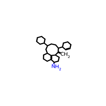 C=C1C2CCC(N)C3=C2C(CCC3)CC(C2CCCCC2)CCC1C1C=CCCC1